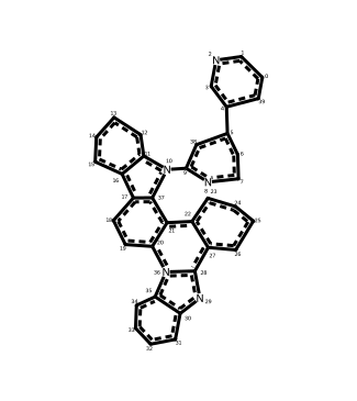 c1cncc(-c2ccnc(-n3c4ccccc4c4ccc5c(c6ccccc6c6nc7ccccc7n56)c43)c2)c1